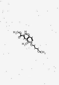 COCCCOn1ccc2o[nH]c(C(=O)OC)cc=2n1C